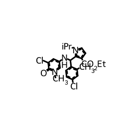 CCOC(=O)c1ccn(C(C)C)c1C(Nc1cc(Cl)c(=O)n(C)c1)c1ccc(Cl)cc1C